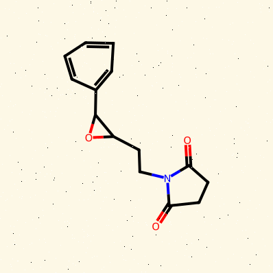 O=C1CCC(=O)N1CCC1OC1c1ccccc1